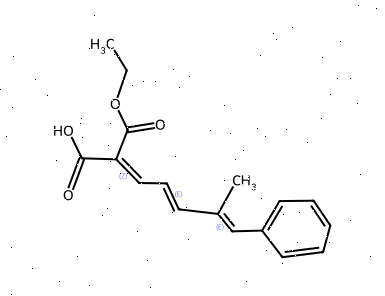 CCOC(=O)\C(=C/C=C/C(C)=C/c1ccccc1)C(=O)O